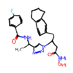 CC(NC(=O)c1ccc(F)cc1)c1cn(C(CC(=O)NO)Cc2ccc3c(c2)CCCC3)nn1